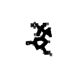 Nc1cc(Cl)cc(C2(S(N)(=O)=O)CC2)c1